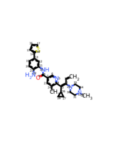 C=C/C(=C(\c1ncc(C(=O)Nc2cc(-c3cccs3)ccc2N)cc1C)C1CC1)N1CCN(C)CC1